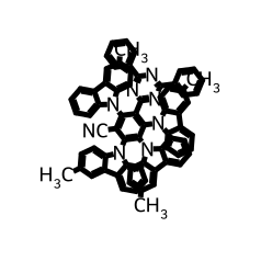 Cc1ccc2c(c1)c1ccccc1n2-c1c(C#N)c(-n2c3ccccc3c3cc(C)ccc32)c(-n2c3ccccc3c3cc(C)ccc32)c(-n2c3ccccc3c3cc(C)ccc32)c1-c1nc(-c2ccccc2)nc(-c2ccccc2)n1